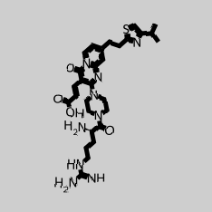 CC(C)c1csc(CCc2ccn3c(=O)c(/C=C/C(=O)O)c(N4CCN(C(=O)[C@@H](N)CCCNC(=N)N)CC4)nc3c2)n1